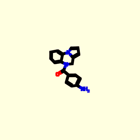 Nc1ccc(C(=O)N2Cc3cccn3-c3ccccc32)cc1